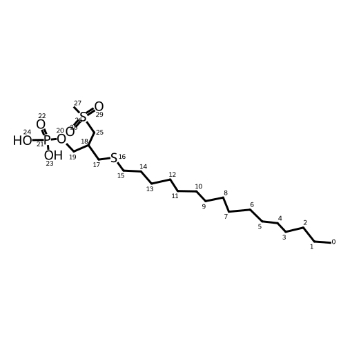 CCCCCCCCCCCCCCCCSCC(COP(=O)(O)O)CS(C)(=O)=O